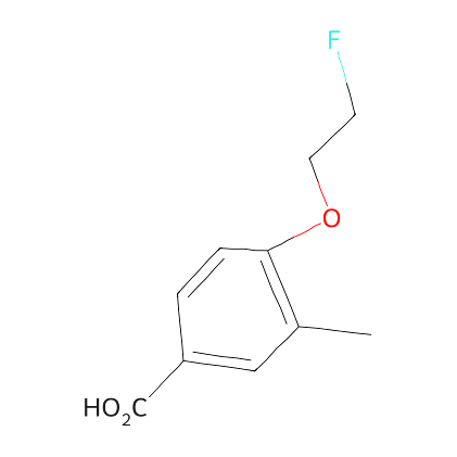 Cc1cc(C(=O)O)ccc1OCCF